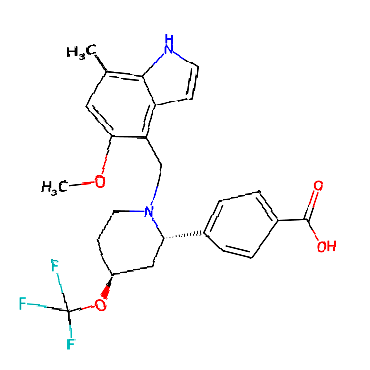 COc1cc(C)c2[nH]ccc2c1CN1CC[C@H](OC(F)(F)F)C[C@H]1c1ccc(C(=O)O)cc1